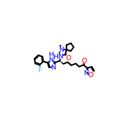 CN(C)C1(C(=O)N[C@@H](CCCCCC(=O)c2ccon2)c2ncc(-c3ccccc3F)[nH]2)CCCC1